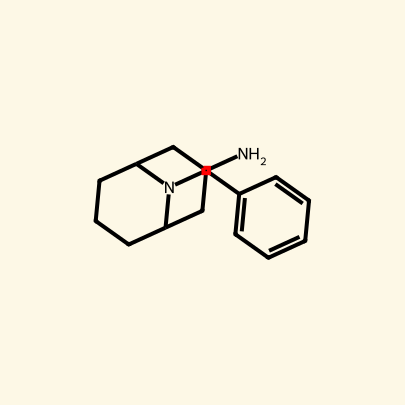 NC1CC2CCCC(C1)N2Cc1ccccc1